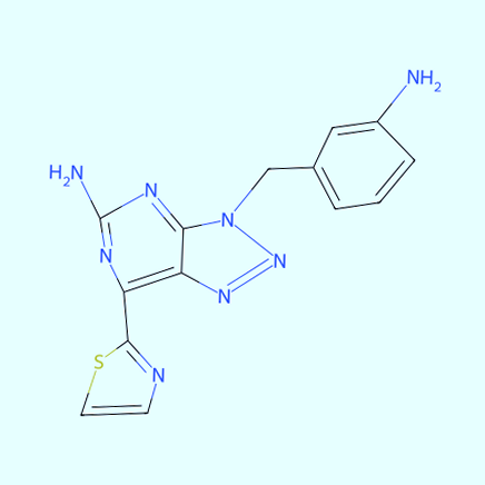 Nc1cccc(Cn2nnc3c(-c4nccs4)nc(N)nc32)c1